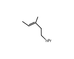 CC=C(C)CCCCC